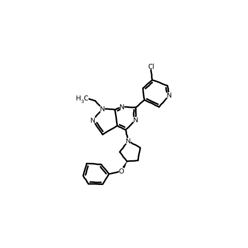 CCn1ncc2c(N3CC[C@@H](Oc4ccccc4)C3)nc(-c3cncc(Cl)c3)nc21